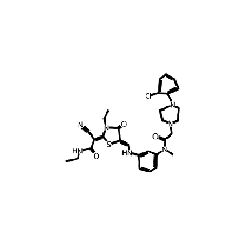 CCNC(=O)C(C#N)=c1sc(=CNc2cccc(N(C)C(=O)CN3CCN(c4ccccc4Cl)CC3)c2)c(=O)n1CC